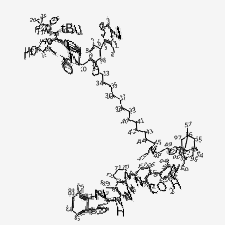 Cc1ncsc1-c1ccc(CNC(=O)[C@@H]2C[C@@H](O)CN2C(=O)[C@@H](NC(=O)C2(F)CC2)C(C)(C)C)c(OCCCCCCCCCCCCCN(C)CCOC23CC4(C)CC(C)(CC(Cn5ncc(-c6ccc(N7CCCc8c7nnc(Nc7nc9ccccc9s7)c8C)nc6C(=O)O)c5C)(C4)C2)C3)c1